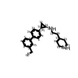 FCc1cccc(-c2ccc([C@H]3C[C@@H]3NCCC3CCNCC3)cc2)c1